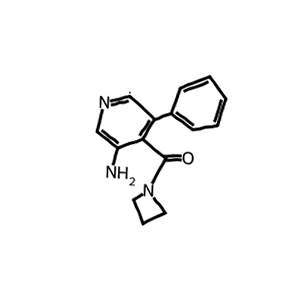 Nc1cn[c]c(-c2ccccc2)c1C(=O)N1CCC1